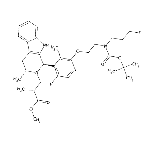 COC(=O)[C@H](C)CN1[C@H](c2c(F)cnc(OCCN(CCCF)C(=O)OC(C)(C)C)c2C)c2[nH]c3ccccc3c2C[C@H]1C